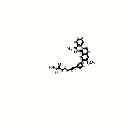 COc1cc2ncnc(NC(C)c3ccccc3)c2cc1-c1ccc(C#CCCCC(=O)NO)o1